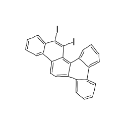 Ic1c(I)c2c(ccc3c4ccccc4c4ccccc4c32)c2ccccc12